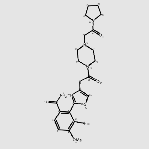 COc1ccc(C(N)=O)c(-c2nc(CC(=O)N3CCN(CC(=O)N4CCCC4)CC3)cs2)c1F